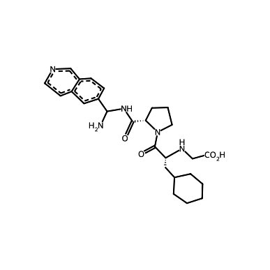 NC(NC(=O)[C@@H]1CCCN1C(=O)[C@@H](CC1CCCCC1)NCC(=O)O)c1ccc2cnccc2c1